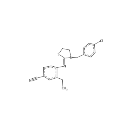 CCc1cc(C#N)ccc1N=C1SCCN1Cc1ccc(Cl)cc1